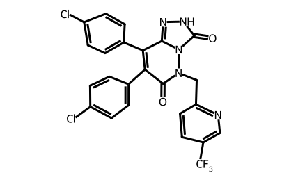 O=c1c(-c2ccc(Cl)cc2)c(-c2ccc(Cl)cc2)c2n[nH]c(=O)n2n1Cc1ccc(C(F)(F)F)cn1